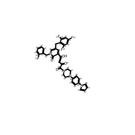 O=C(C=C(O)c1cc(Cc2c(F)cc(F)cc2F)cn(Cc2ccccc2F)c1=O)C(=O)N1CCN(c2ccc(-n3cccc3)cc2)CC1